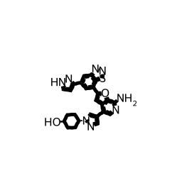 Nc1ncc(-c2cnn([C@H]3CC[C@H](O)CC3)c2)c2cc(-c3cc(-c4cc[nH]n4)cc4nnsc34)oc12